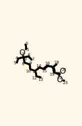 CCOC(CC)(CC)CCCC(CC)CC=CC(C)=CC(=O)OC